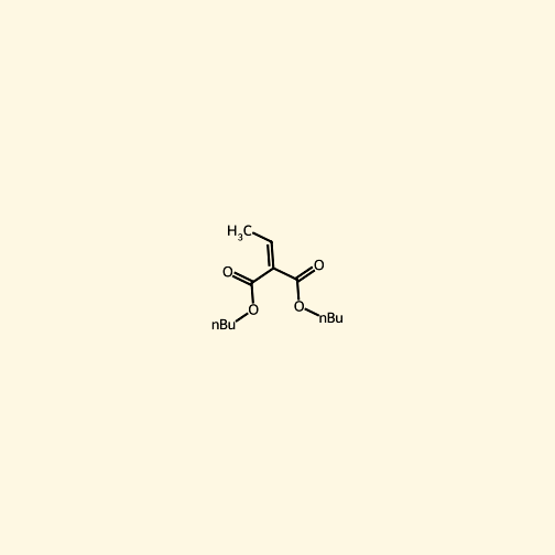 CC=C(C(=O)OCCCC)C(=O)OCCCC